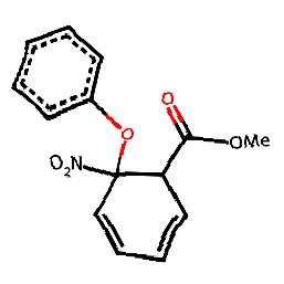 COC(=O)C1C=CC=CC1(Oc1ccccc1)[N+](=O)[O-]